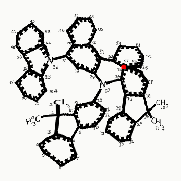 CC1(C)c2ccccc2-c2ccc(N(c3cccc4c3-c3ccccc3C4(C)C)c3cc(-n4c5ccccc5c5ccccc54)c4ccccc4c3-c3ccccc3)cc21